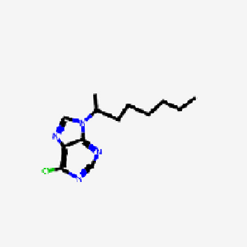 [CH2]CCCCCC(C)n1cnc2c(Cl)ncnc21